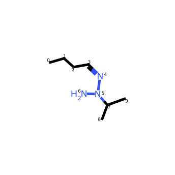 CCC/C=N\N(N)C(C)C